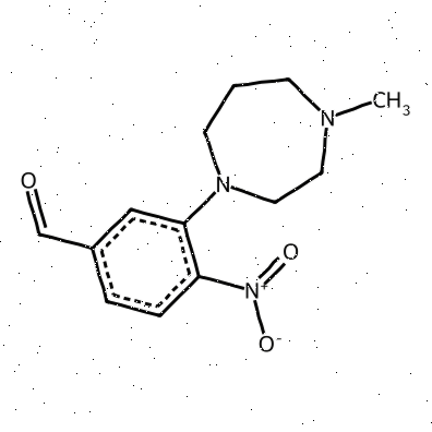 CN1CCCN(c2cc(C=O)ccc2[N+](=O)[O-])CC1